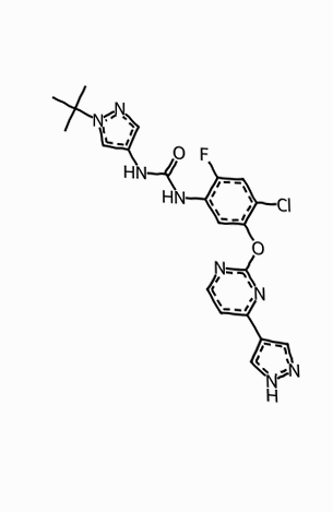 CC(C)(C)n1cc(NC(=O)Nc2cc(Oc3nccc(-c4cn[nH]c4)n3)c(Cl)cc2F)cn1